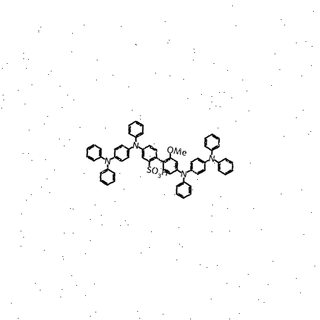 COc1cc(N(c2ccccc2)c2ccc(N(c3ccccc3)c3ccccc3)cc2)ccc1-c1ccc(N(c2ccccc2)c2ccc(N(c3ccccc3)c3ccccc3)cc2)cc1S(=O)(=O)O